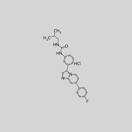 CC(C)CNC(=O)Nc1cccc(-c2cnc3cc(-c4ccc(F)cc4)ccn23)c1.Cl